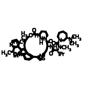 CCn1c(-c2cccnc2[C@H](C)OC)c2c3cc(ccc31)-c1csc(n1)C[C@H](NC(=O)[C@H](C(C)C)N(C)C(=O)N1CCCC[C@@H](N(C)C)C1)C(=O)N1CCC[C@H](N1)C(=O)OCC(C)(C)C2